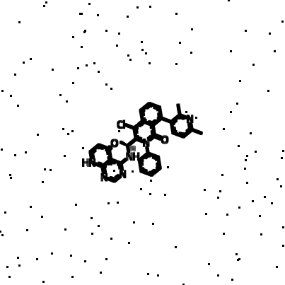 Cc1ccc(-c2cccc3c(Cl)c([C@H](C)Nc4ncnc5[nH]ccc(=O)c45)n(-c4ccccc4)c(=O)c23)c(C)n1